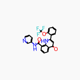 O=C(Nc1cccnc1)c1cccc2c(=O)cc(-c3ccccc3OC(F)(F)F)[nH]c12